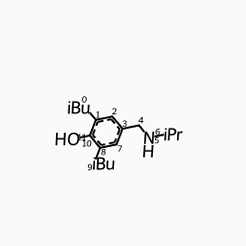 CCC(C)c1cc(CNC(C)C)cc(C(C)CC)c1O